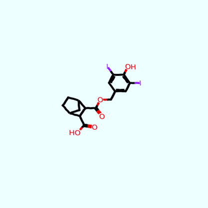 O=C(O)C1C2CCC(C2)C1C(=O)OCc1cc(I)c(O)c(I)c1